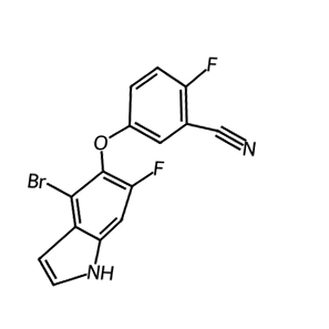 N#Cc1cc(Oc2c(F)cc3[nH]ccc3c2Br)ccc1F